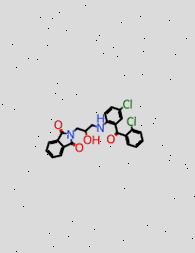 O=C(c1ccccc1Cl)c1cc(Cl)ccc1NCC(O)CN1C(=O)c2ccccc2C1=O